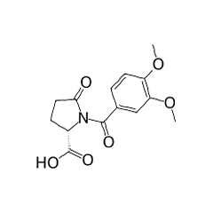 COc1ccc(C(=O)N2C(=O)CC[C@H]2C(=O)O)cc1OC